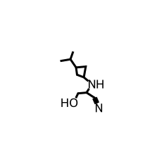 CC(C)C1CC(NC(C#N)CO)C1